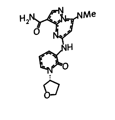 CNc1cc(Nc2cccn([C@@H]3CCOC3)c2=O)nc2c(C(N)=O)cnn12